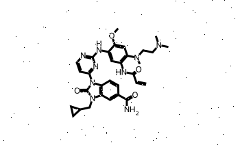 C=CC(=O)Nc1cc(Nc2nccc(-n3c(=O)n(CC4CC4)c4cc(C(N)=O)ccc43)n2)c(OC)cc1N(C)CCN(C)C